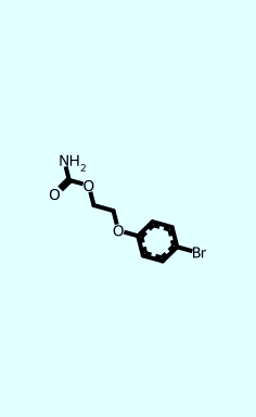 NC(=O)OCCOc1ccc(Br)cc1